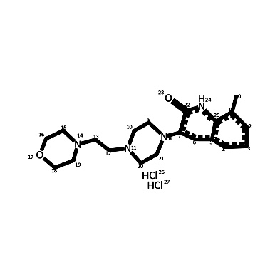 Cc1cccc2cc(N3CCN(CCN4CCOCC4)CC3)c(=O)[nH]c12.Cl.Cl